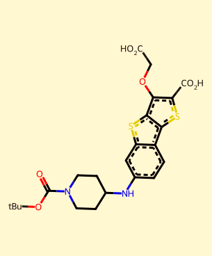 CC(C)(C)OC(=O)N1CCC(Nc2ccc3c(c2)sc2c(OCC(=O)O)c(C(=O)O)sc23)CC1